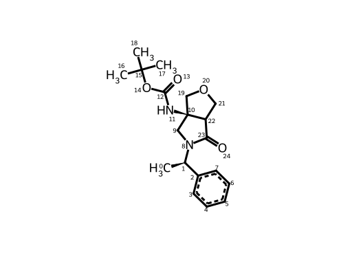 C[C@H](c1ccccc1)N1C[C@]2(NC(=O)OC(C)(C)C)COCC2C1=O